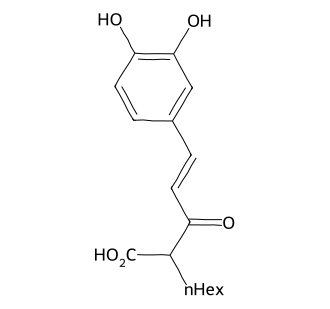 CCCCCCC(C(=O)O)C(=O)C=Cc1ccc(O)c(O)c1